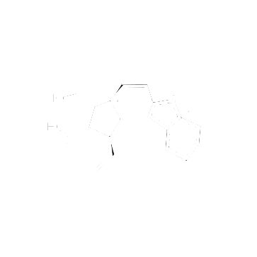 C=C[C@@H]1C[C@H](/C=C\c2cc3ccccc3s2)[C@@H](CO)[C@H]1CO